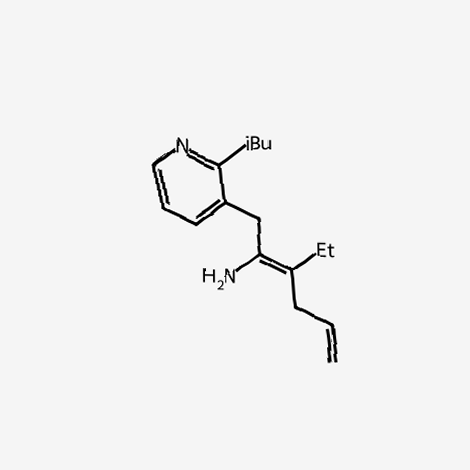 C=CC/C(CC)=C(\N)Cc1cccnc1C(C)CC